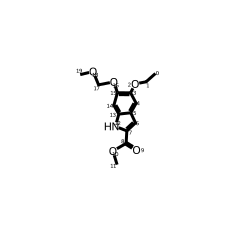 CCOc1cc2cc(C(=O)OC)[nH]c2cc1OCOC